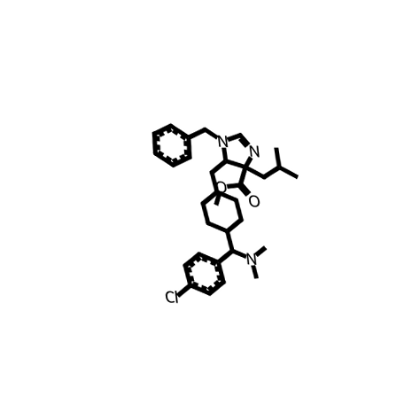 COC(=O)C1(CC(C)C)N=CN(Cc2ccccc2)C1CC1CCC(C(c2ccc(Cl)cc2)N(C)C)CC1